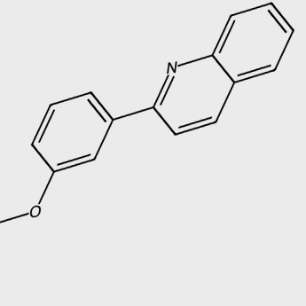 CC(C)(C)COc1cccc(-c2ccc3ccccc3n2)c1